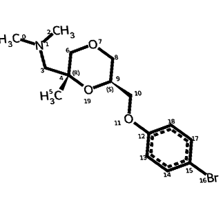 CN(C)C[C@]1(C)COC[C@@H](COc2ccc(Br)cc2)O1